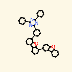 c1ccc(-c2nc(-c3ccccc3)nc(-c3cccc(-c4cccc5c4oc4c(-c6ccc7oc8ccccc8c7c6)cccc45)c3)n2)cc1